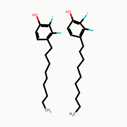 CCCCCCCCCCc1ccc(O)c(F)c1F.CCCCCCCCCc1ccc(O)c(F)c1F